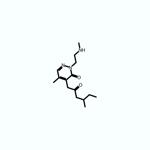 CCC(C)CC(=O)Cc1c(C)cnn(CCNC)c1=O